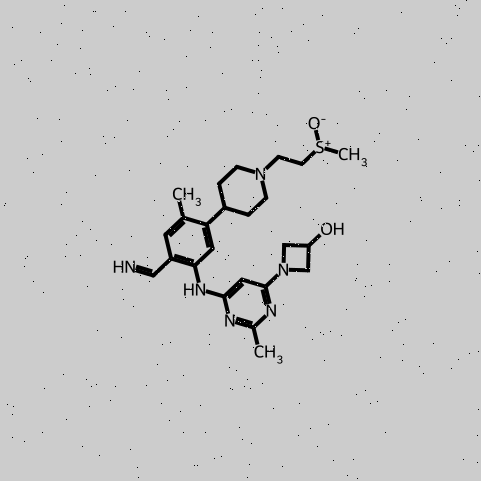 Cc1nc(Nc2cc(C3CCN(CC[S+](C)[O-])CC3)c(C)cc2C=N)cc(N2CC(O)C2)n1